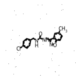 Cc1ccc2onc(CNC(=O)NCc3ccc(Cl)cc3)c2c1